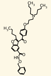 CCCCc1oc2ccc(C(=O)NOCc3ccccc3)cc2c1C(=O)c1ccc(OCCCN(CCCC)CCCC)cc1